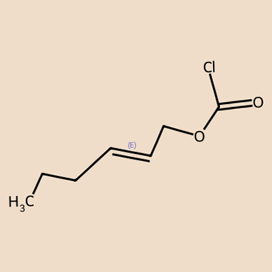 CCC/C=C/COC(=O)Cl